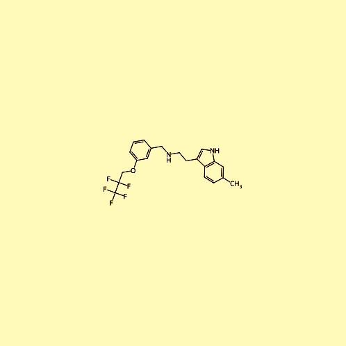 Cc1ccc2c(CCNCc3cccc(OCC(F)(F)C(F)(F)F)c3)c[nH]c2c1